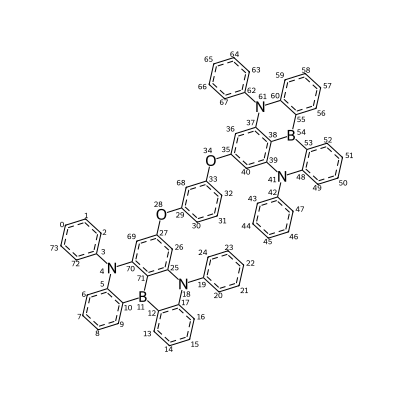 c1ccc(N2c3ccccc3B3c4ccccc4N(c4ccccc4)c4cc(Oc5cccc(Oc6cc7c8c(c6)N(c6ccccc6)c6ccccc6B8c6ccccc6N7c6ccccc6)c5)cc2c43)cc1